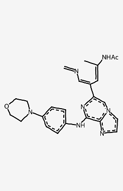 C=N/C=C(\C=C(/C)NC(C)=O)c1cn2ccnc2c(Nc2ccc(N3CCOCC3)cc2)n1